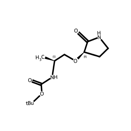 C[C@@H](CO[C@@H]1CCNC1=O)NC(=O)OC(C)(C)C